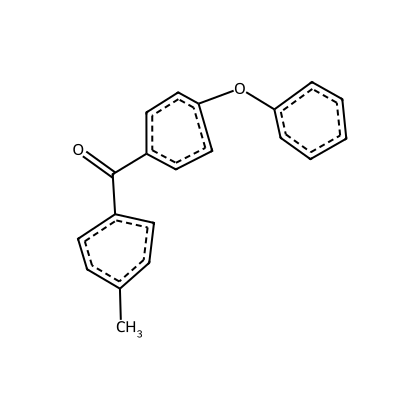 Cc1ccc(C(=O)c2ccc(Oc3ccccc3)cc2)cc1